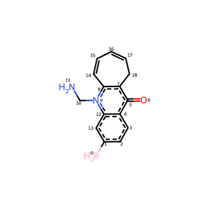 Bc1ccc2c(=O)c3c(n(CN)c2c1)C=CC=CC3